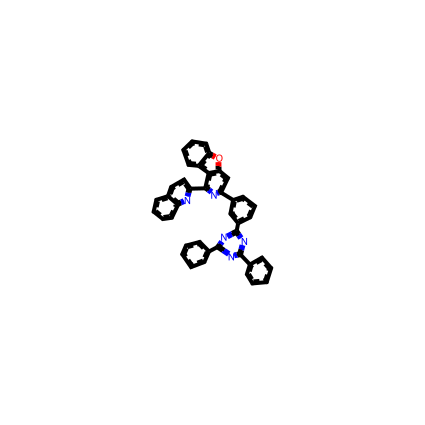 c1ccc(-c2nc(-c3ccccc3)nc(-c3cccc(-c4cc5oc6ccccc6c5c(-c5ccc6ccccc6n5)n4)c3)n2)cc1